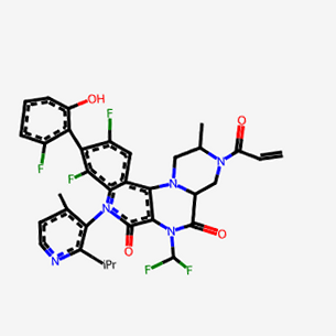 C=CC(=O)N1CC2C(=O)N(C(F)F)c3c(c4cc(F)c(-c5c(O)cccc5F)c(F)c4n(-c4c(C)ccnc4C(C)C)c3=O)N2CC1C